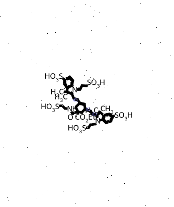 CCOC(=O)C1(C(=O)NCCS(=O)(=O)O)CC(/C=C/C2=[N+](CCCS(=O)(=O)O)c3ccc(S(=O)(=O)O)cc3C2(C)C)=CC(=C/C=C2/N(CCCS(=O)(=O)O)c3ccc(S(=O)(=O)O)cc3C2(C)C)/C1